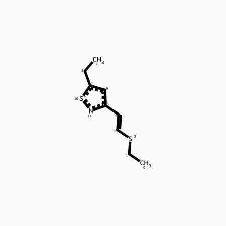 CCSC=Cc1cc(CC)sn1